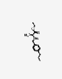 CCCc1ccc(CNC(N)C(=O)OCC)cc1